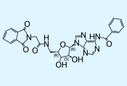 O=C(CN1C(=O)c2ccccc2C1=O)NC[C@H]1O[C@@H](n2cnc3c(NC(=O)c4ccccc4)ncnc32)[C@@H](O)C1O